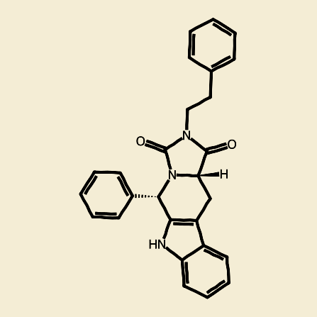 O=C1[C@@H]2Cc3c([nH]c4ccccc34)[C@H](c3ccccc3)N2C(=O)N1CCc1ccccc1